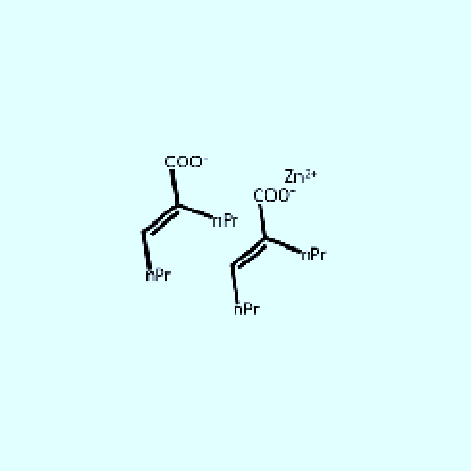 CCC/C=C(\CCC)C(=O)[O-].CCC/C=C(\CCC)C(=O)[O-].[Zn+2]